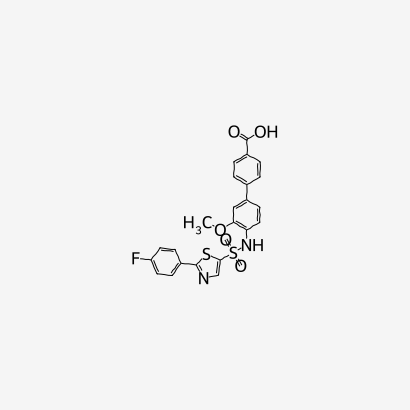 COc1cc(-c2ccc(C(=O)O)cc2)ccc1NS(=O)(=O)c1cnc(-c2ccc(F)cc2)s1